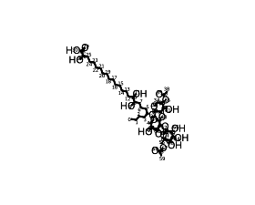 CCCCC(CCCC(O)C(O)CCCCCCCCCCCCCCC(O)C(=O)O)O[C@@H]1OC[C@@H](OC(C)=O)[C@H](O)[C@H]1O[C@@H]1OC[C@@H](O)[C@H](O)[C@H]1O[C@@H]1O[C@H](COC(C)=O)[C@@H](O)[C@H](O)[C@H]1O